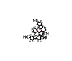 N#Cc1cccc(-c2c(-n3c4cc(C#N)ccc4c4ccc(C#N)cc43)cncc2-n2c3cc(C#N)ccc3c3ccc(C#N)cc32)c1